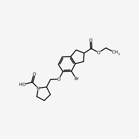 CCOC(=O)C1Cc2ccc(OCC3CCCN3C(=O)O)c(Br)c2C1